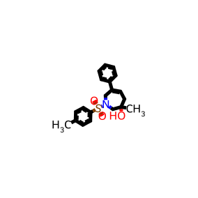 Cc1ccc(S(=O)(=O)N2CC(c3ccccc3)=CCC(C)(O)C2)cc1